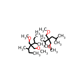 CCC(C)C(COC)(COC)C(C)CC.COCC(COC)(CC(C)C)C(C)C